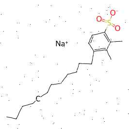 CCCCCCCCCCCCc1ccc(S(=O)(=O)[O-])c(C)c1C.[Na+]